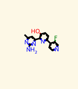 Cc1cc(-c2nc(-c3ccncc3F)ccc2O)nc(N)n1